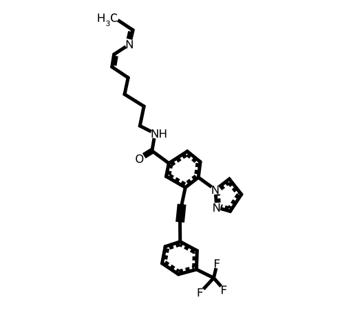 C/C=N\C=C/CCCCNC(=O)c1ccc(-n2cccn2)c(C#Cc2cccc(C(F)(F)F)c2)c1